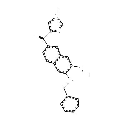 COc1cc2cc(C(=O)c3c[nH]cn3)ccc2cc1OCc1ccccc1